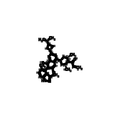 C=CC(=O)N1[C@H](C)CN(c2nc(N3CC(N(C)C)C3)nc3c(F)c(-c4c(C)ccc5[nH]nc(C)c45)c(Cl)cc23)C[C@@H]1C